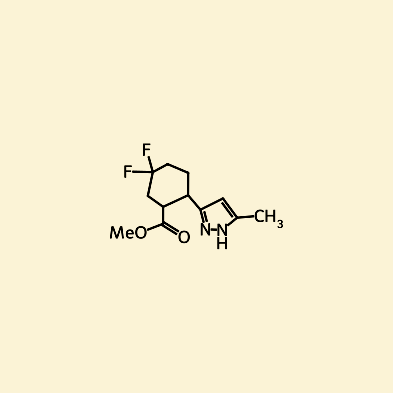 COC(=O)C1CC(F)(F)CCC1c1cc(C)[nH]n1